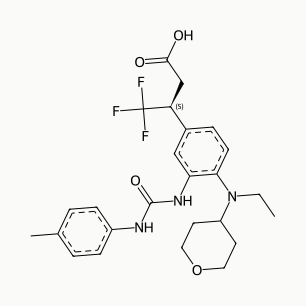 CCN(c1ccc([C@H](CC(=O)O)C(F)(F)F)cc1NC(=O)Nc1ccc(C)cc1)C1CCOCC1